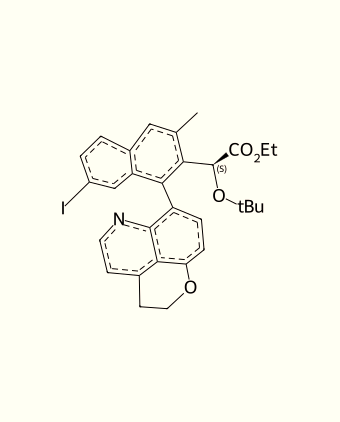 CCOC(=O)[C@@H](OC(C)(C)C)c1c(C)cc2ccc(I)cc2c1-c1ccc2c3c(ccnc13)CCO2